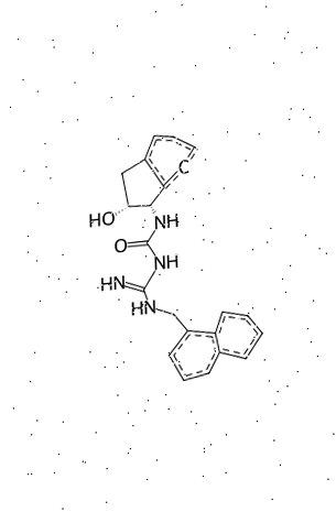 N=C(NCc1cccc2ccccc12)NC(=O)N[C@H]1c2ccccc2C[C@H]1O